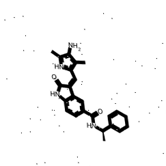 Cc1[nH]c(/C=C2\C(=O)Nc3ccc(C(=O)N[C@H](C)C4=CCCC=C4)cc32)c(C)c1N